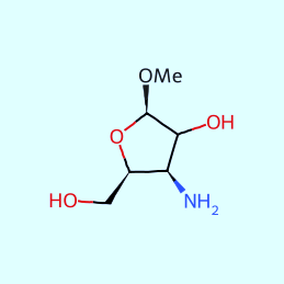 CO[C@@H]1O[C@H](CO)[C@H](N)C1O